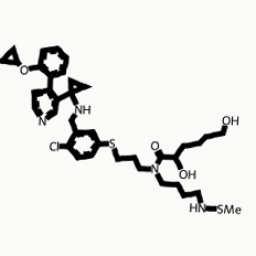 CSNCCCCN(CCCSc1ccc(Cl)c(CNC2(c3cnccc3-c3ccccc3OC3CC3)CC2)c1)C(=O)C(O)CCCCO